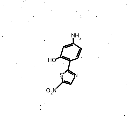 Nc1ccc(-c2ncc([N+](=O)[O-])s2)c(O)c1